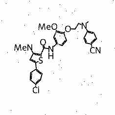 CNc1cc(-c2ccc(Cl)cc2)sc1C(=O)Nc1ccc(OCCN(C)c2ccc(C#N)cc2)c(OC)c1